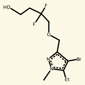 CCc1c(Br)c(COCC(F)(F)CCO)nn1C